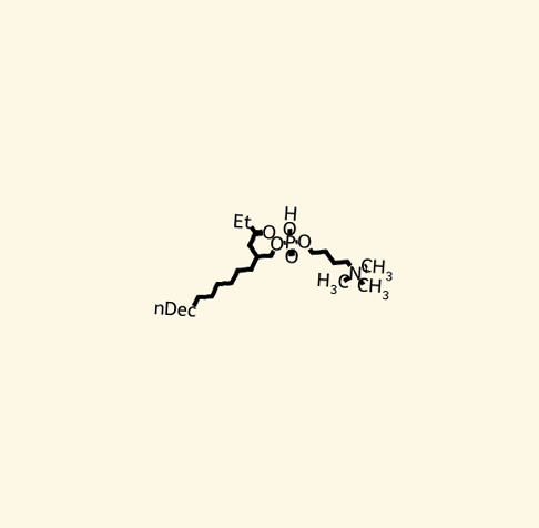 CCCCCCCCCCCCCCCCC(COP(=O)(O)OCCCC[N+](C)(C)C)CC(=O)CC